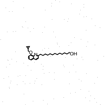 OCCCCCCCCCCCCCc1ccc2cccc(OCC3CC3)c2n1